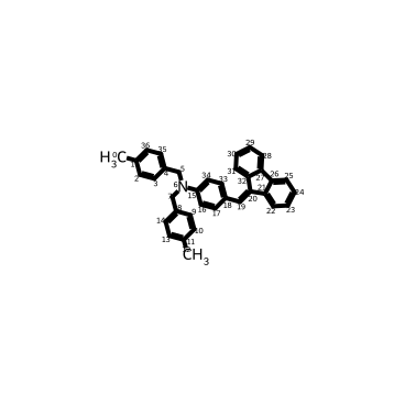 Cc1ccc(CN(Cc2ccc(C)cc2)c2ccc(C=C3c4ccccc4-c4ccccc43)cc2)cc1